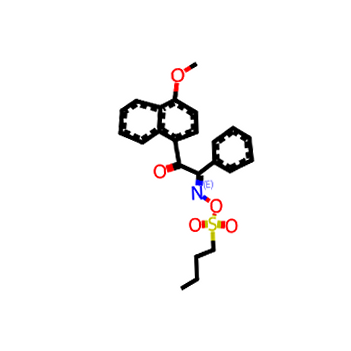 CCCCS(=O)(=O)O/N=C(/C(=O)c1ccc(OC)c2ccccc12)c1ccccc1